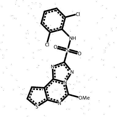 COc1nc2sccc2c2nc(S(=O)(=O)Nc3c(Cl)cccc3Cl)nn12